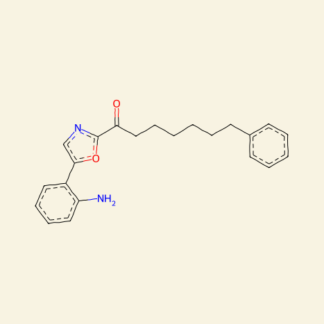 Nc1ccccc1-c1cnc(C(=O)CCCCCCc2ccccc2)o1